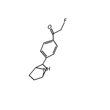 O=C(CF)c1ccc(C2CC3CCC2N3)cc1